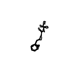 CCS(=O)(=O)[N]C(=O)OCc1ccccc1